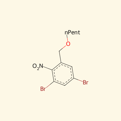 CCCCCOCc1cc(Br)cc(Br)c1[N+](=O)[O-]